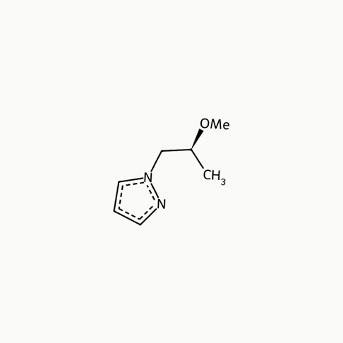 CO[C@@H](C)Cn1cccn1